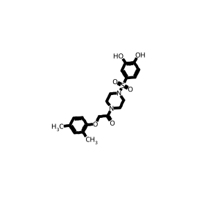 Cc1ccc(OCC(=O)N2CCN(S(=O)(=O)c3ccc(O)c(O)c3)CC2)c(C)c1